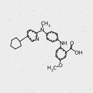 COc1ccc(Nc2ccc(N(C)c3ccc(C4CCCCC4)cn3)cc2)c(C(=O)O)c1